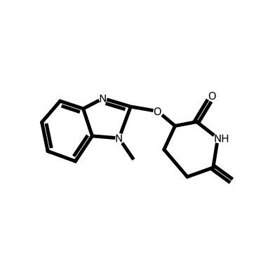 C=C1CCC(Oc2nc3ccccc3n2C)C(=O)N1